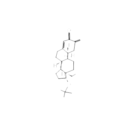 C=C1C[C@H]2C(=CC1=O)CC[C@@H]1[C@@H]2CC[C@]2(CC)[C@@H](OC(C)(C)C)CC[C@@H]12